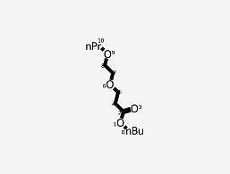 CCCCOC(=O)CCOCCOCCC